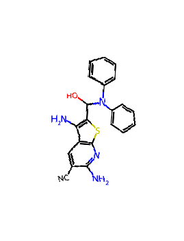 N#Cc1cc2c(N)c(C(O)N(c3ccccc3)c3ccccc3)sc2nc1N